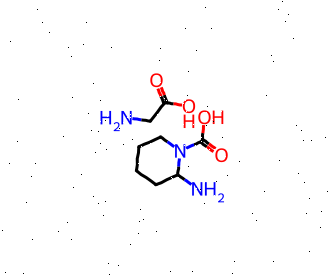 NC1CCCCN1C(=O)O.NCC(=O)O